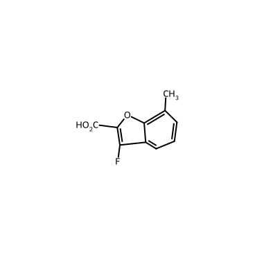 Cc1cccc2c(F)c(C(=O)O)oc12